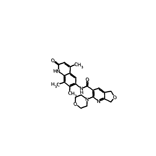 Cc1c(NC(=O)c2cc3c(nc2N2CCOCC2)COC3)cc2c(C)cc(=O)[nH]c2c1C